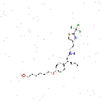 CC(CNCCc1csc(C(F)(F)F)n1)c1ccc(OCCCCCCO)cc1